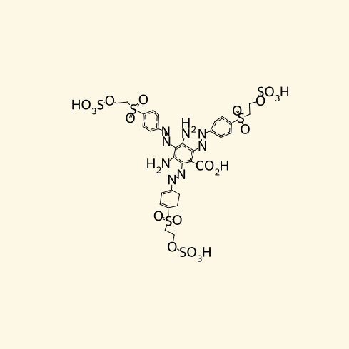 Nc1c(/N=N/c2ccc(S(=O)(=O)CCOS(=O)(=O)O)cc2)c(N)c(/N=N/c2ccc(S(=O)(=O)CCOS(=O)(=O)O)cc2)c(C(=O)O)c1/N=N/C1=CC=C(S(=O)(=O)CCOS(=O)(=O)O)CC1